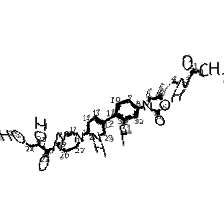 CC(=O)NC[C@H]1CN(c2ccc(C3=CC=C(N4C=NN(C(=O)C(O)CO)CC4)NC3)c(F)c2)C(=O)O1